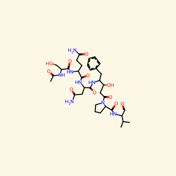 CC(=O)NC(CO)C(=O)NC(CCC(N)=O)C(=O)NC(CC(N)=O)C(=O)NC(Cc1ccccc1)C(O)CC(=O)N1CCCC1C(=O)NC([C]=O)C(C)C